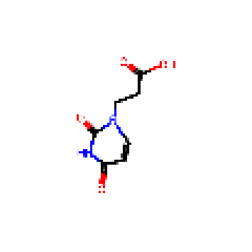 O=C(O)CCn1ccc(=O)[nH]c1=O